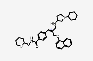 O=C(NOC1CCCCO1)c1ccc(/C=C(/CNC2CCN(C3CCCCC3)C2)COc2cccc3ccccc23)cc1